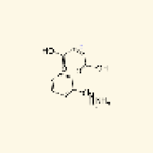 Clc1ccccc1.N.N.O=C(O)/C=C\C(=O)O